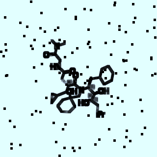 CC(C)C[C@H](O)[C@H](O)[C@H](CC1CCCCC1)N(CC1(O)CCCCC1)C(=O)[C@@H](CC(=O)NCC(=O)N(C)C)CC1CC1